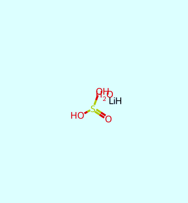 O.O=S(O)O.[LiH]